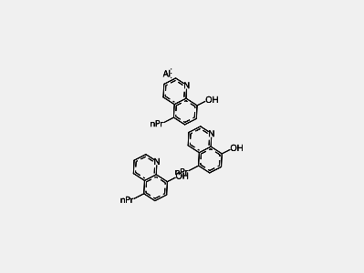 CCCc1ccc(O)c2ncccc12.CCCc1ccc(O)c2ncccc12.CCCc1ccc(O)c2ncccc12.[Al]